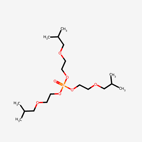 CC(C)COCCOP(=O)(OCCOCC(C)C)OCCOCC(C)C